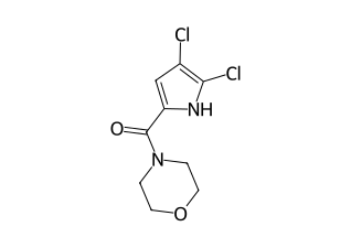 O=C(c1cc(Cl)c(Cl)[nH]1)N1CCOCC1